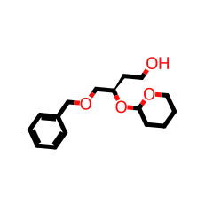 OCC[C@H](COCc1ccccc1)OC1CCCCO1